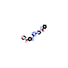 O=C(N[C@@H]1CCN(c2nncc(Nc3ccc(C(=O)N4CCOCC4)cc3)n2)C1)c1ccccc1